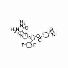 NC(=O)c1c(N)nn2ccc(N3CC(OC(=O)c4ccc([N+](=O)[O-])cc4)CC3c3cc(F)ccc3F)nc12